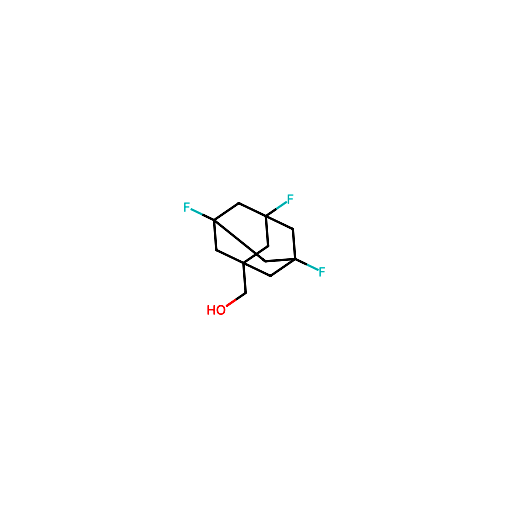 OCC12CC3(F)CC(F)(CC(F)(C3)C1)C2